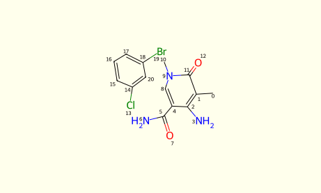 Cc1c(N)c(C(N)=O)cn(C)c1=O.Clc1cccc(Br)c1